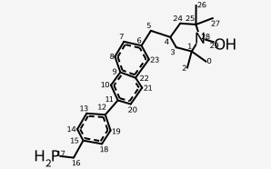 CC1(C)CC(Cc2ccc3cc(-c4ccc(CP)cc4)ccc3c2)CC(C)(C)N1O